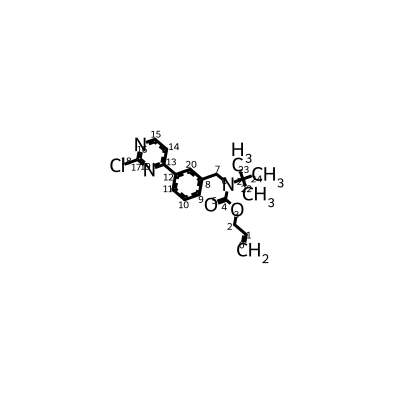 C=CCOC(=O)N(Cc1cccc(-c2ccnc(Cl)n2)c1)C(C)(C)C